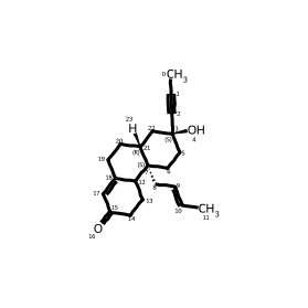 CC#C[C@]1(O)CC[C@@]2(CC=CC)C3CCC(=O)C=C3CC[C@@H]2C1